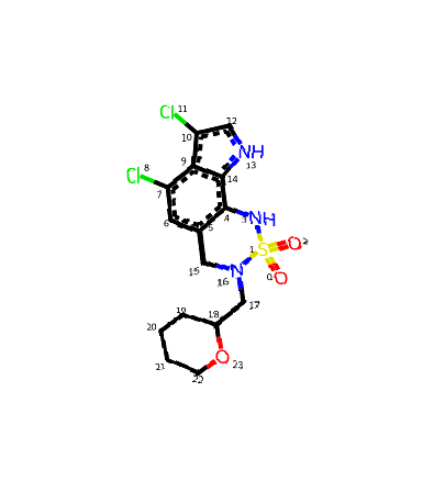 O=S1(=O)Nc2c(cc(Cl)c3c(Cl)c[nH]c23)CN1CC1CCCCO1